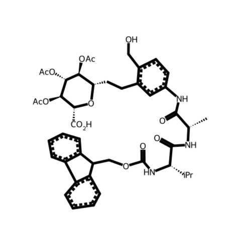 CC(=O)O[C@@H]1[C@@H](OC(C)=O)[C@H](CCc2cc(NC(=O)[C@H](C)NC(=O)[C@@H](NC(=O)OCC3c4ccccc4-c4ccccc43)C(C)C)ccc2CO)O[C@H](C(=O)O)[C@H]1OC(C)=O